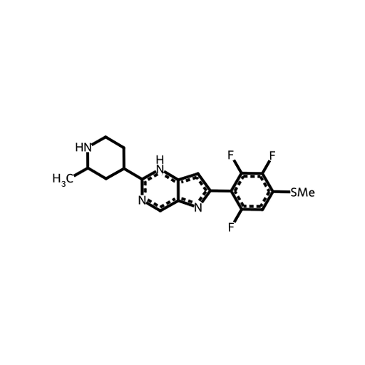 CSc1cc(F)c(-c2cc3[nH]c(C4CCNC(C)C4)ncc-3n2)c(F)c1F